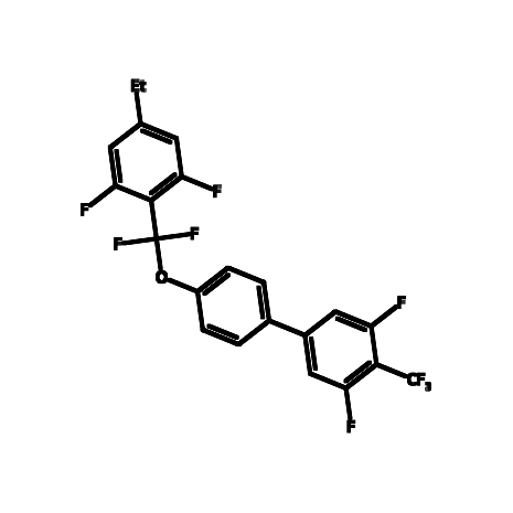 CCc1cc(F)c(C(F)(F)Oc2ccc(-c3cc(F)c(C(F)(F)F)c(F)c3)cc2)c(F)c1